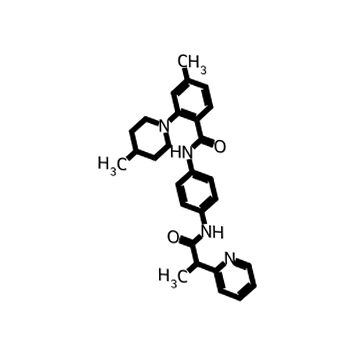 Cc1ccc(C(=O)Nc2ccc(NC(=O)C(C)c3ccccn3)cc2)c(N2CCC(C)CC2)c1